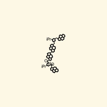 CC(C)c1cc(Cc2ccc3ccc4cccc5ccc2c3c45)cc(Cc2ccc3ccc4c(-c5ccc6ccc7c(C(=O)c8cc(C(C)C)cc(C(=O)c9ccc%10ccc%11cccc%12ccc9c%10c%11%12)n8)ccc8ccc5c6c87)ccc5ccc2c3c54)c1